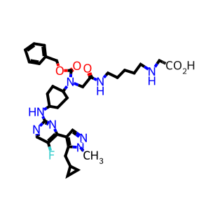 Cn1ncc(-c2nc(NC3CCC(N(CC(=O)NCCCCCNCC(=O)O)C(=O)OCc4ccccc4)CC3)ncc2F)c1CC1CC1